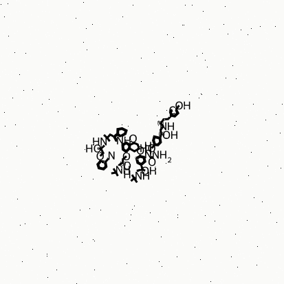 CC(C)(C)NCC(O)c1ccc(O)c(NC(N)=O)c1.CC(C)(C)NC[C@H](O)COc1cccc2c1CCCC2=O.CC(C)(Cc1c[nH]c2ccccc12)NCC(O)COc1ccccc1C#N.C[C@H](CCc1ccc(O)cc1)NC[C@H](O)c1ccc(O)cc1